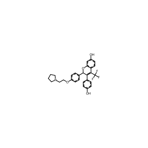 Oc1ccc(C2=C(C(F)(F)F)c3ccc(O)cc3OC2c2ccc(OCCN3CCCC3)cc2)cc1